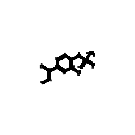 CC=C(CC)c1ccc(OS(=O)(=O)C(F)(F)F)c(Cl)c1